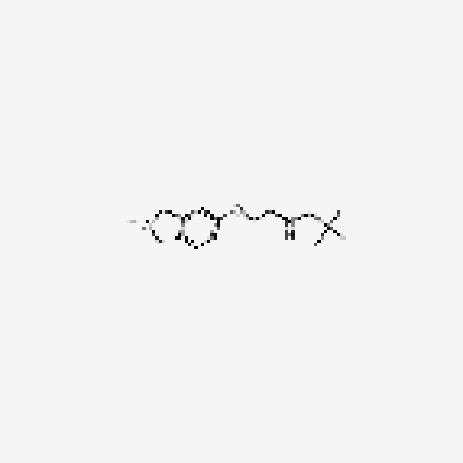 CN1Cc2ccc(OCCNCC(C)(C)C)cc2C1